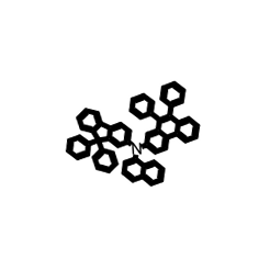 c1ccc(-c2c(-c3ccccc3)c3cc(N(c4ccc5c(c4)C(c4ccccc4)(c4ccccc4)c4ccccc4-5)c4cccc5ccccc45)ccc3c3ccccc23)cc1